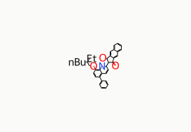 CCCCC(CC)COc1ccc(-c2ccccc2)c2ccc(C3C(=O)c4cc5ccccc5cc4C3=O)nc12